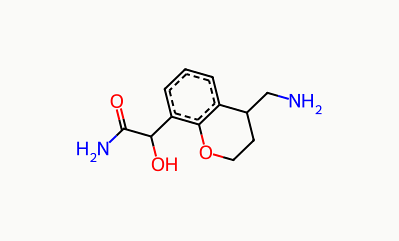 NCC1CCOc2c1cccc2C(O)C(N)=O